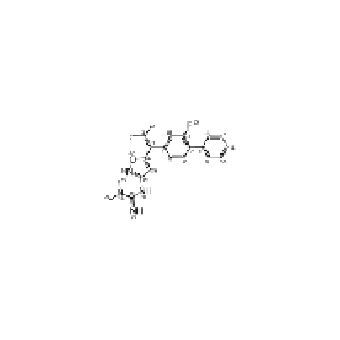 CC(C)=C(c1ccc(-c2ccccc2)c(F)c1)c1cc(NC(=N)N(C)C)no1